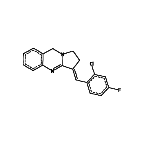 Fc1ccc(/C=C2\CCN3Cc4ccccc4N=C23)c(Cl)c1